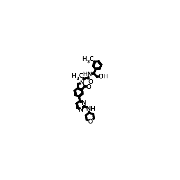 Cc1cccc(C(CO)NC(=O)C(C)N2Cc3ccc(-c4ccnc(NC5CCOCC5)n4)cc3C2=O)c1